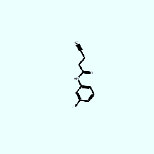 C#CCCC(=O)Nc1cccc(Cl)c1